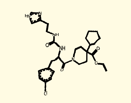 CCOC(=O)C1(C2CCCCC2)CCN(C(=O)C(Cc2ccc(Cl)cc2)NC(=O)NCCc2c[nH]cn2)CC1